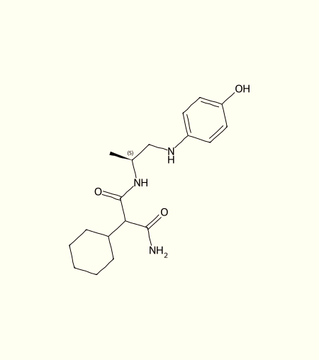 C[C@@H](CNc1ccc(O)cc1)NC(=O)C(C(N)=O)C1CCCCC1